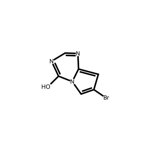 Oc1ncnc2cc(Br)cn12